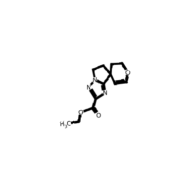 CCOC(=O)c1nc2n(n1)CCC21C=COCC1